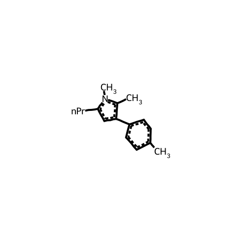 CCCc1cc(-c2ccc(C)cc2)c(C)n1C